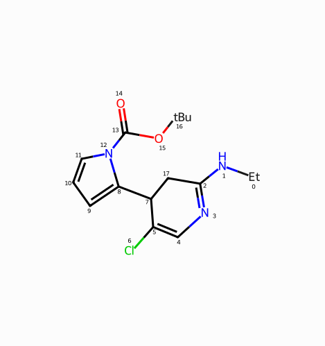 CCNC1=NC=C(Cl)C(c2cccn2C(=O)OC(C)(C)C)C1